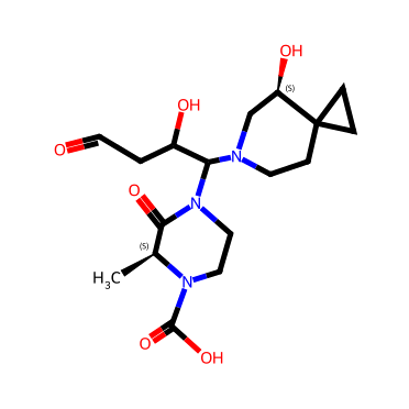 C[C@H]1C(=O)N(C(C(O)CC=O)N2CCC3(CC3)[C@H](O)C2)CCN1C(=O)O